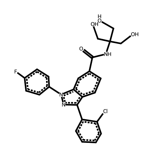 O=C(NC(CO)(CO)CO)c1ccc2c(-c3ccccc3Cl)nn(-c3ccc(F)cc3)c2c1